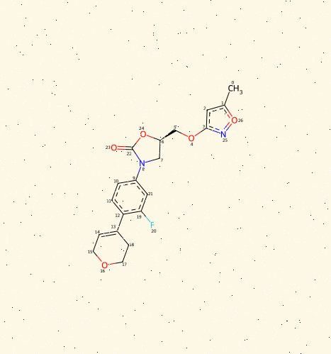 Cc1cc(OC[C@H]2CN(c3ccc(C4=CCOCC4)c(F)c3)C(=O)O2)no1